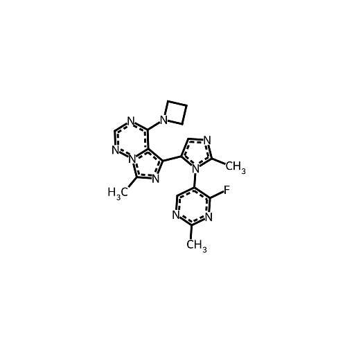 Cc1ncc(-n2c(-c3nc(C)n4ncnc(N5CCC5)c34)cnc2C)c(F)n1